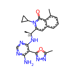 Cc1nnc(-c2c(N)ncnc2N[C@@H](C)c2cc3cccc(C)c3c(=O)n2C2CC2)o1